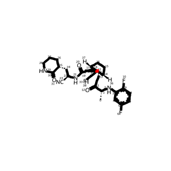 C[C@@H](Nc1cc(F)ccc1F)C(=O)N1[C@H]2CC[C@@H]([C@@H]1C(=O)N[C@@H](C#N)C[C@H]1CCCNC1=O)C(F)(F)C2